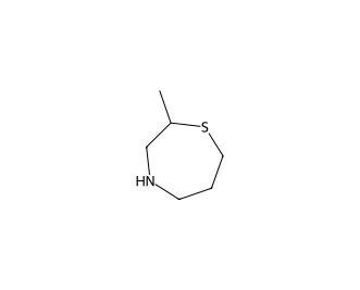 CC1CNCCCS1